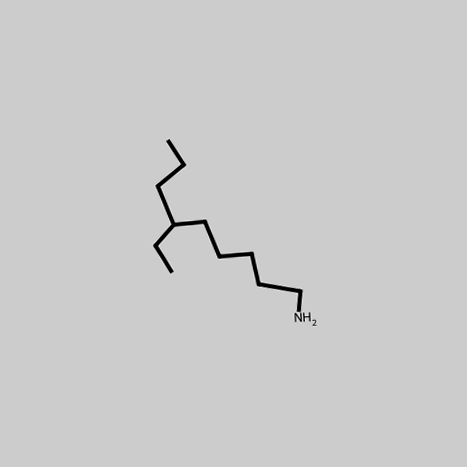 CCCC(CC)CCCCCN